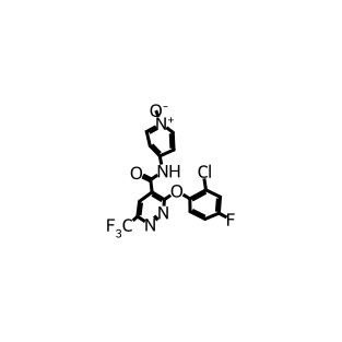 O=C(Nc1cc[n+]([O-])cc1)c1cc(C(F)(F)F)nnc1Oc1ccc(F)cc1Cl